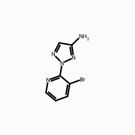 Nc1cnn(-c2ncccc2Br)n1